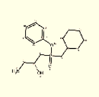 NC[C@@H](O)CP(=O)(CC1CCCCC1)Oc1ccccc1